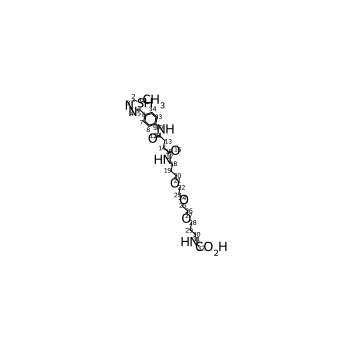 C[SH]1C=NN=C1c1ccc(NC(=O)CCC(=O)NCCCOCCOCCOCCCNC(=O)O)cc1